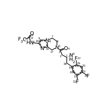 N[C@@H](CC(=O)N1CCn2cc(NC(=O)C(F)(F)F)nc2C1)Cc1cc(F)c(F)cc1F